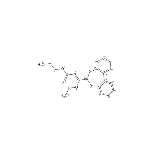 CCCOC(=O)/N=C(\OCC)N1Cc2ccccc2-c2ccccc2C1